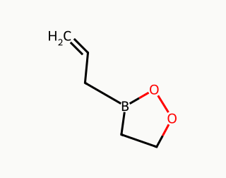 C=CCB1CCOO1